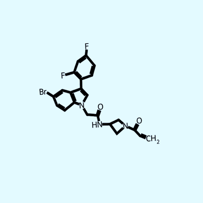 C=CC(=O)N1CC(NC(=O)Cn2cc(-c3ccc(F)cc3F)c3cc(Br)ccc32)C1